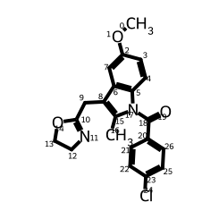 COc1ccc2c(c1)c(CC1=NCCO1)c(C)n2C(=O)c1ccc(Cl)cc1